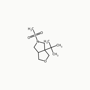 CC(C)(C)C12COCC1CN(S(C)(=O)=O)C2